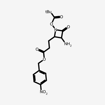 CC(C)(C)C(=O)ON1C(=O)C(N)C1CCC(=O)OCc1ccc([N+](=O)[O-])cc1